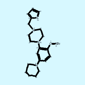 CC(C)(C)Oc1ccc(N2CCCCC2)cc1N1CCN(Cc2cccs2)CC1